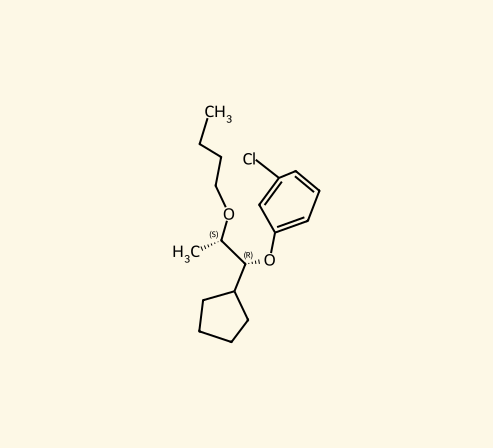 CCCCO[C@@H](C)[C@H](Oc1cccc(Cl)c1)C1CCCC1